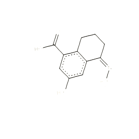 Cc1cc(C(=O)O)c2c(c1)/C(=N\O)CCC2